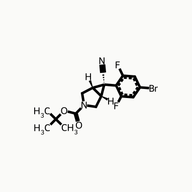 CC(C)(C)OC(=O)N1C[C@@H]2[C@H](C1)[C@@]2(C#N)c1c(F)cc(Br)cc1F